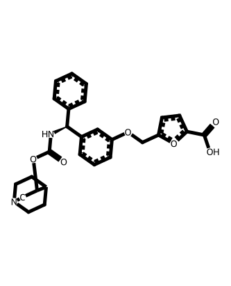 O=C(N[C@@H](c1ccccc1)c1cccc(OCc2ccc(C(=O)O)o2)c1)OC1CN2CCC1CC2